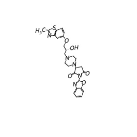 Cc1nc2cc(OC[C@H](O)CN3CCN(C4CC(=O)N(c5nc6ccccc6o5)C4=O)CC3)ccc2s1